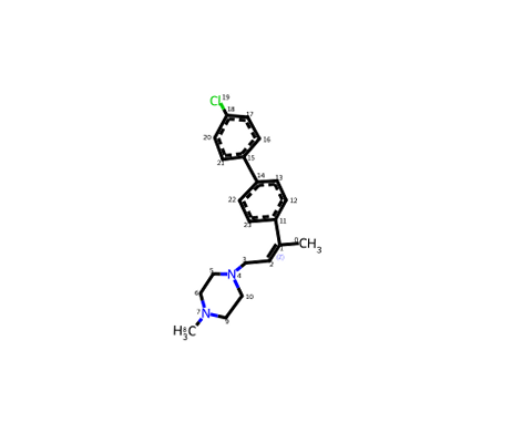 C/C(=C/CN1CCN(C)CC1)c1ccc(-c2ccc(Cl)cc2)cc1